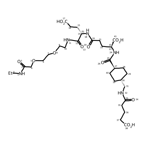 CCNC(=O)COCCOCCNC(=O)[C@H](CCC(=O)O)NC(=O)CC[C@H](NC(=O)[C@H]1CC[C@H](CNC(=O)CCCC(=O)O)CC1)C(=O)O